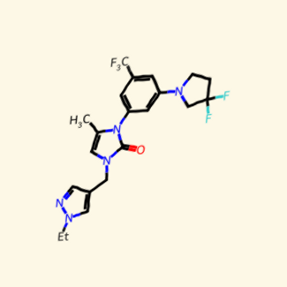 CCn1cc(Cn2cc(C)n(-c3cc(N4CCC(F)(F)C4)cc(C(F)(F)F)c3)c2=O)cn1